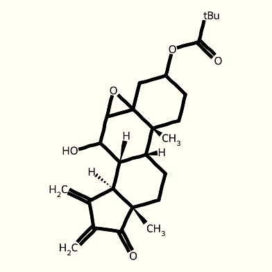 C=C1C(=C)[C@H]2[C@@H]3C(O)C4OC45CC(OC(=O)C(C)(C)C)CC[C@]5(C)[C@@H]3CC[C@]2(C)C1=O